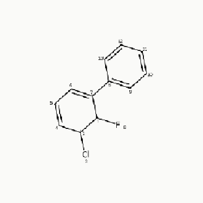 FC1[C](Cl)C=CC=C1c1ccccc1